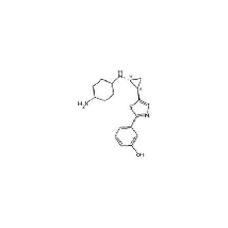 NC1CCC(N[C@@H]2C[C@H]2c2cnc(-c3cccc(O)c3)s2)CC1